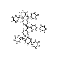 c1ccc(-c2ccc(N(c3ccc4c(c3)c3cc(-c5ccccc5)ccc3n4-c3ccccc3)c3ccc4c5c(-c6ccccc6)cccc5n(-c5ccccc5)c4c3)cc2)cc1